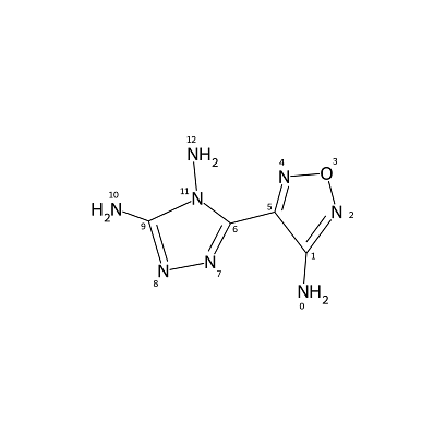 Nc1nonc1-c1nnc(N)n1N